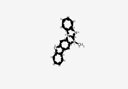 Cn1c2cc3c(cc2n2c4ccccc4nc12)oc1ccccc13